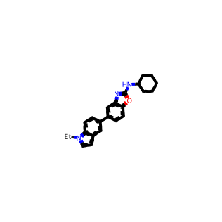 CCn1ccc2cc(-c3ccc4oc(NC5CCCCC5)nc4c3)ccc21